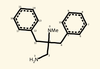 CNC(CN)(Cc1ccccc1)Cc1ccccc1